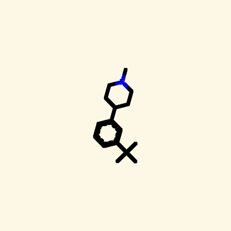 CN1CCC(c2cccc(C(C)(C)C)c2)CC1